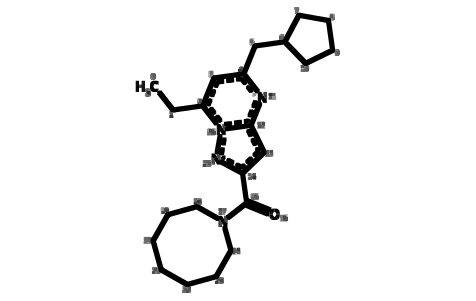 CCc1cc(CC2CCCC2)nc2cc(C(=O)N3CCCCCCC3)nn12